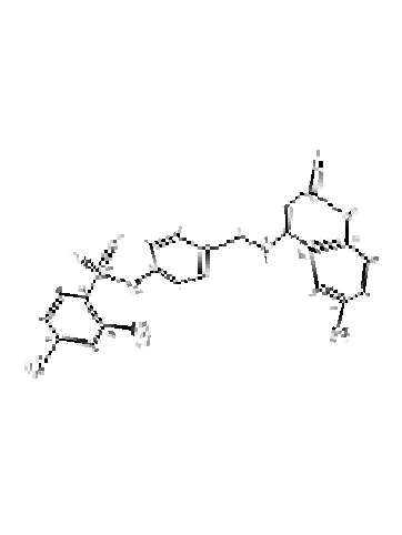 O=c1cc(NCc2ccc(OS(=O)(=O)c3ccc([N+](=O)[O-])cc3[N+](=O)[O-])cc2)c2cc([N+](=O)[O-])ccc2o1